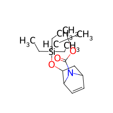 CC[Si](CC)(CC)OC1CC2C=CC1N2C(=O)OC(C)(C)C